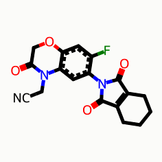 N#CCN1C(=O)COc2cc(F)c(N3C(=O)C4=C(CCCC4)C3=O)cc21